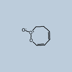 [O-][O+]1CCC=CC=CO1